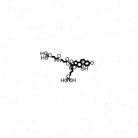 C[C@]12C=CC(=O)C=C1CCC1C3C[C@@H](O)[C@](OC(=O)CCCON(O)O)(C(=O)COC(=O)CCNC(=O)CCCON(O)O)[C@@]3(C)C[C@H](O)[C@@]12F